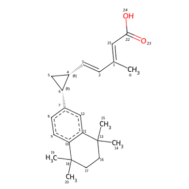 CC(C=C[C@H]1C[C@H]1c1ccc2c(c1)C(C)(C)CCC2(C)C)=CC(=O)O